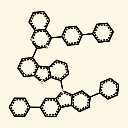 c1ccc(-c2ccc(-c3nc(-c4cccc5oc6c(-n7c8cc(-c9ccccc9)ccc8c8ccc(-c9ccccc9)cc87)cccc6c45)nc4ccccc34)cc2)cc1